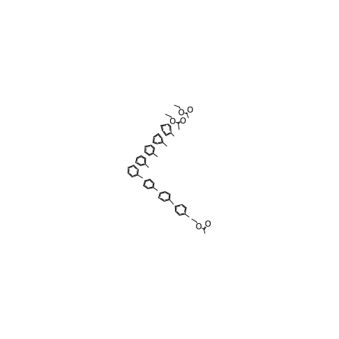 CCOC(C)=O.CCOC(C)=O.CCOC(C)=O.Cc1ccccc1.Cc1ccccc1.Cc1ccccc1.Cc1ccccc1.Cc1ccccc1.Cc1ccccc1.Cc1ccccc1.Cc1ccccc1